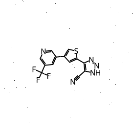 N#Cc1[nH]nnc1-c1cc(-c2cncc(C(F)(F)F)c2)cs1